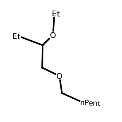 CCCCCCOC[C](CC)OCC